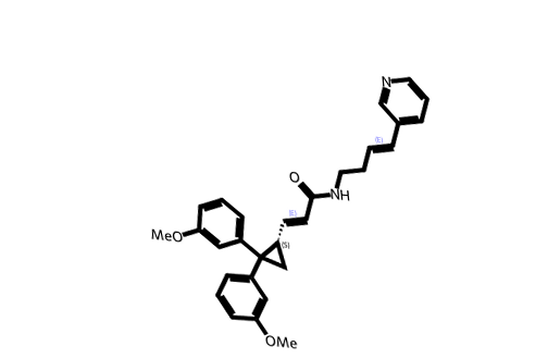 COc1cccc(C2(c3cccc(OC)c3)C[C@H]2/C=C/C(=O)NCC/C=C/c2cccnc2)c1